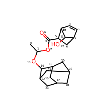 CC(OC(=O)C1CC2C=CC1C2O)OC1C2CC3CC(C2)CC1C3